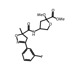 COC(=O)C1(OC)CC(NC(=O)C2(C)CC(c3cccc(F)c3)=NO2)CO1